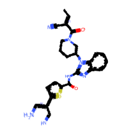 C/C=C(\C#N)C(=O)N1CCCC(n2c(NC(=O)c3ccc(/C(C=N)=C/N)s3)nc3ccccc32)C1